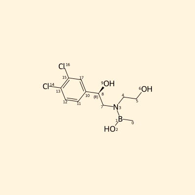 CB(O)N(CCO)C[C@H](O)c1ccc(Cl)c(Cl)c1